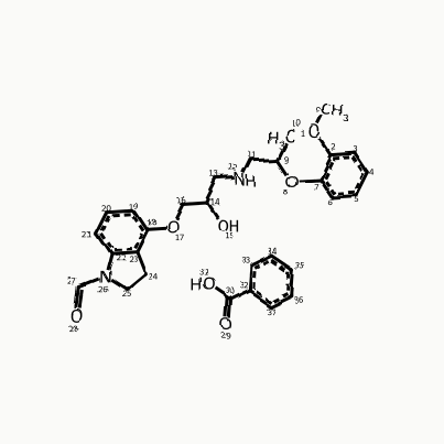 COc1ccccc1OC(C)CNCC(O)COc1cccc2c1CCN2C=O.O=C(O)c1ccccc1